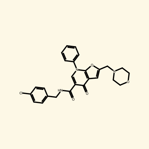 O=C(NCc1ccc(Cl)cc1)c1cn(-c2ccccc2)c2oc(CN3CCOCC3)cc2c1=O